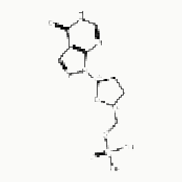 O=c1[nH]cnc2c1cnn2[C@H]1CC[C@@H](COP(=O)(O)O)O1